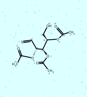 CC(=O)O[C@@H]([C@@H](C=S)OC(C)=O)[C@@H](CO)OC(C)=O